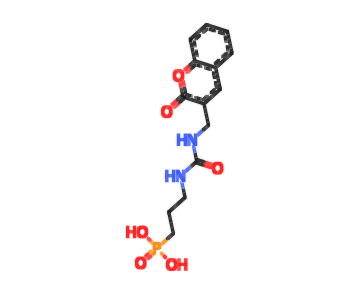 O=C(NCCCP(=O)(O)O)NCc1cc2ccccc2oc1=O